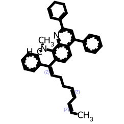 C/C=C\C=C/CC/C=C(/c1ccccc1)c1ccc2c(-c3ccccc3)cc(C3=CCCC=C3)nc2c1N(C)C